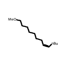 CCCC/C=C\CCCCCCCOC